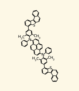 Cc1cc(-c2cccc3c2sc2ccc4ccccc4c23)cc(C)c1N(c1ccccc1)c1ccc2ccc3c(N(c4ccccc4)c4c(C)cc(-c5cccc6c5sc5ccc7ccccc7c56)cc4C)ccc4ccc1c2c43